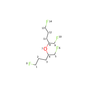 FCCCC(CF)OC(CF)CCCF